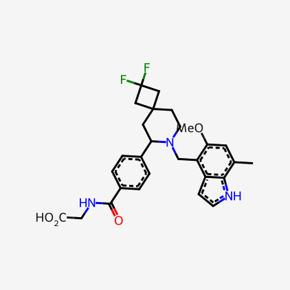 COc1cc(C)c2[nH]ccc2c1CN1CCC2(CC1c1ccc(C(=O)NCC(=O)O)cc1)CC(F)(F)C2